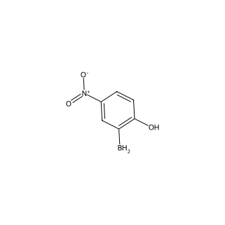 Bc1cc([N+](=O)[O-])ccc1O